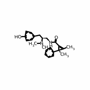 CC1=C(C(=O)NC[C@H](Cc2ccc(O)cc2)N(C)C)[C@@]1(C)c1ccccc1